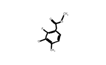 COC(=O)c1ccc(C)c(Cl)c1F